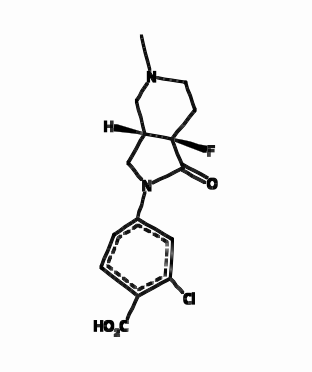 CN1CC[C@]2(F)C(=O)N(c3ccc(C(=O)O)c(Cl)c3)C[C@@H]2C1